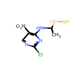 CC(BS)Nc1nc(Cl)ncc1[N+](=O)[O-]